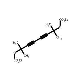 CCOC(=O)OC(C)(C)C#CC#CC(C)(C)OC(=O)OCC